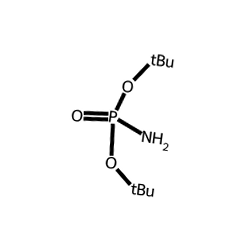 CC(C)(C)OP(N)(=O)OC(C)(C)C